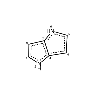 [c]1c[nH]c2cc[nH]c12